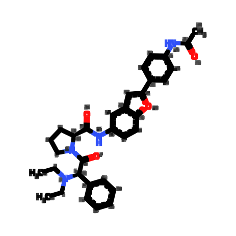 CCN(CC)[C@@H](C(=O)N1CCC[C@H]1C(=O)Nc1ccc2oc(-c3ccc(NC(C)=O)cc3)cc2c1)c1ccccc1